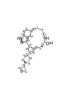 OC1NCCCOc2ccc3[nH]nc(c3c2)-c2cc(cc(C3=CCN(C4COC4)CC3)c2)CO1